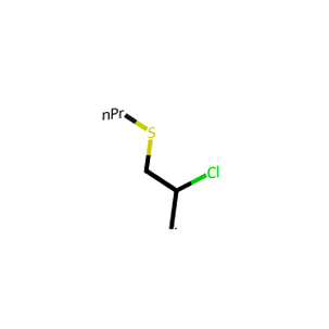 [CH2]CCSCC([CH2])Cl